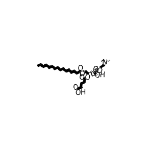 C=[N+](C)CCOP(=O)(O)OC[C@@H](COC(=O)CCCCCCCCCCCCCCC)OC(=O)CCCC(=O)O